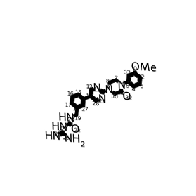 COc1cccc(N2CCN(c3ncc(-c4cccc(CNC(=O)NC(=N)N)c4)cn3)CC2=O)c1